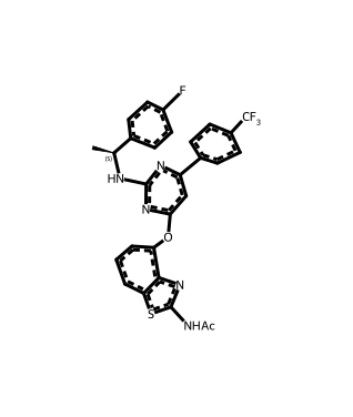 CC(=O)Nc1nc2c(Oc3cc(-c4ccc(C(F)(F)F)cc4)nc(N[C@@H](C)c4ccc(F)cc4)n3)cccc2s1